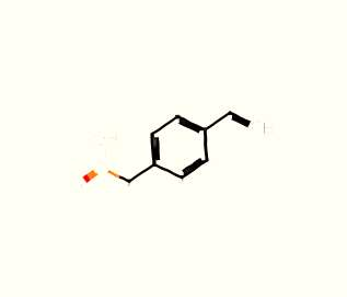 C=Cc1ccc(C[PH](=O)O)cc1